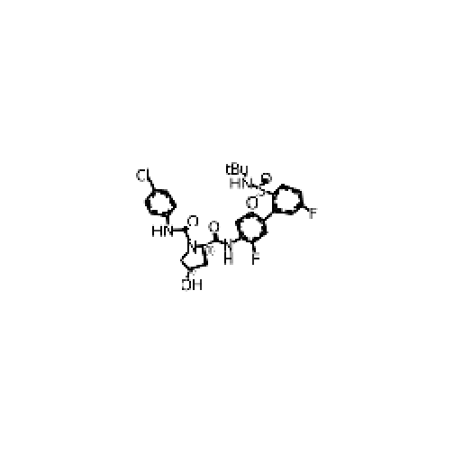 CC(C)(C)NS(=O)(=O)c1ccc(F)cc1-c1ccc(NC(=O)[C@H]2C[C@@H](O)CN2C(=O)Nc2ccc(Cl)cc2)c(F)c1